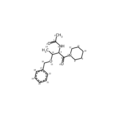 CC(=O)NC(C(=O)N1CCCCC1)C(C)OCc1ccccc1